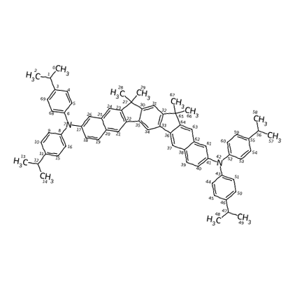 CC(C)c1ccc(N(c2ccc(C(C)C)cc2)c2ccc3cc4c(cc3c2)C(C)(C)c2cc3c(cc2-4)-c2cc4ccc(N(c5ccc(C(C)C)cc5)c5ccc(C(C)C)cc5)cc4cc2C3(C)C)cc1